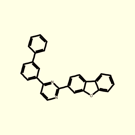 c1ccc(-c2cccc(-c3ccnc(-c4ccc5c(c4)oc4ccccc45)n3)c2)cc1